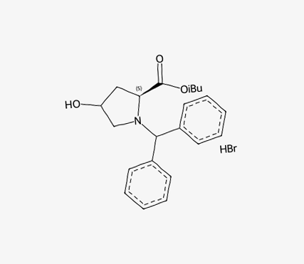 Br.CC(C)COC(=O)[C@@H]1CC(O)CN1C(c1ccccc1)c1ccccc1